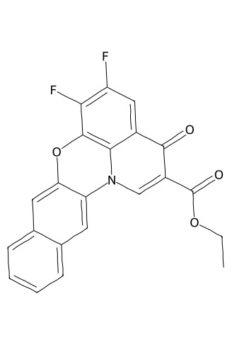 CCOC(=O)c1cn2c3c(c(F)c(F)cc3c1=O)Oc1cc3ccccc3cc1-2